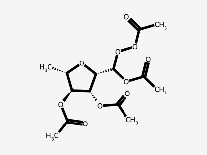 CC(=O)OOC(OC(C)=O)[C@H]1O[C@@H](C)[C@H](OC(C)=O)[C@H]1OC(C)=O